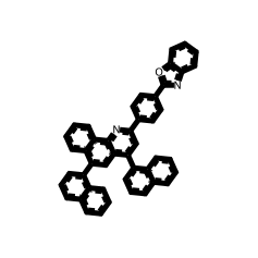 c1ccc2c(-c3cc4c(-c5cccc6ccccc56)cc(-c5ccc(-c6nc7ccccc7o6)cc5)nc4c4ccccc34)cccc2c1